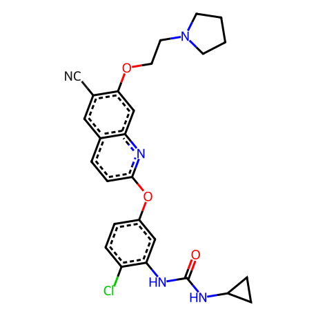 N#Cc1cc2ccc(Oc3ccc(Cl)c(NC(=O)NC4CC4)c3)nc2cc1OCCN1CCCC1